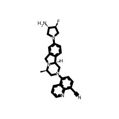 C[C@@H]1CN(c2ccc(C#N)c3ncccc23)C[C@@H]2c3ccc(N4C[C@H](N)[C@@H](F)C4)cc3CN12